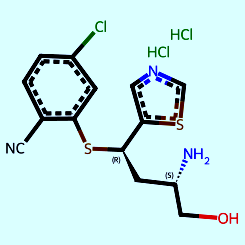 Cl.Cl.N#Cc1ccc(Cl)cc1S[C@H](C[C@H](N)CO)c1cncs1